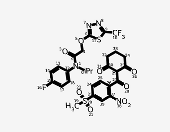 CC(C)N(C(=O)COc1nnc(C(F)(F)F)s1)c1ccc(F)cc1.CS(=O)(=O)c1ccc(C(=O)C2C(=O)CCCC2=O)c([N+](=O)[O-])c1